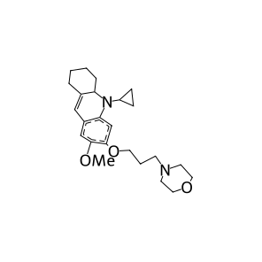 COc1cc2c(cc1OCCCN1CCOCC1)N(C1CC1)C1CCCCC1=C2